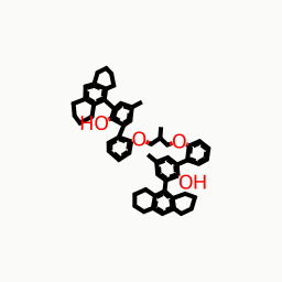 Cc1cc(-c2ccccc2OCC(C)COc2ccccc2-c2cc(C)cc(-c3c4c(cc5c3CCCC5)CCCC4)c2O)c(O)c(-c2c3c(cc4c2CCCC4)CCCC3)c1